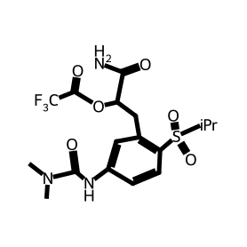 CC(C)S(=O)(=O)c1ccc(NC(=O)N(C)C)cc1CC(OC(=O)C(F)(F)F)C(N)=O